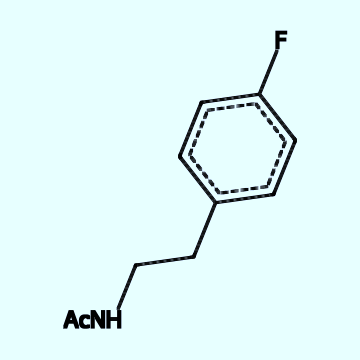 [CH2]C(=O)NCCc1ccc(F)cc1